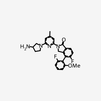 COc1cccc(F)c1-c1c(F)ccc2c1CN(c1cc(C)cc(N3CCC(N)C3)n1)C2=O